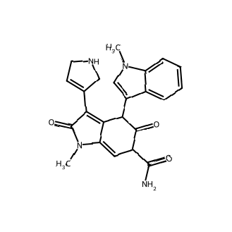 CN1C(=O)C(C2=CCNC2)=C2C1=CC(C(N)=O)C(=O)C2c1cn(C)c2ccccc12